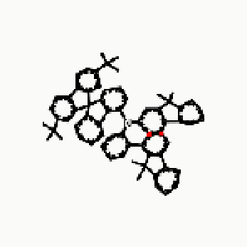 CC(C)(C)c1ccc2c(c1)C1(c3cc(C(C)(C)C)ccc3-2)c2ccccc2-c2c(N(c3ccc4c(c3)C(C)(C)c3ccccc3-4)c3ccccc3-c3cccc4c3C(C)(C)c3ccccc3-4)cccc21